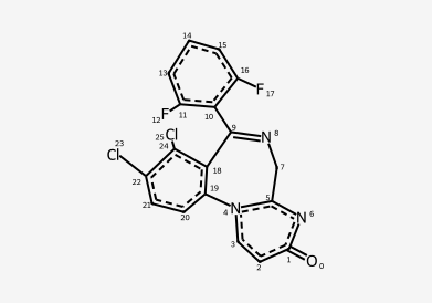 O=c1ccn2c(n1)CN=C(c1c(F)cccc1F)c1c-2ccc(Cl)c1Cl